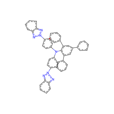 c1ccc(-c2cc(-c3ccccc3)c(N(c3ccc(-n4nc5ccccc5n4)cc3)c3ccc(-n4nc5ccccc5n4)cc3)c(-c3ccccc3)c2)cc1